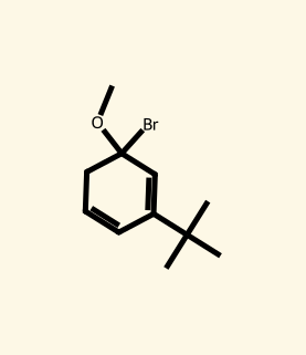 COC1(Br)C=C(C(C)(C)C)C=CC1